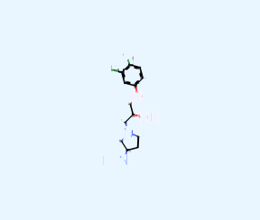 NC1CCN(CC(O)COc2ccc(Cl)c(Cl)c2)C1